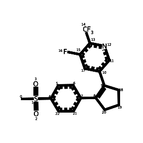 CS(=O)(=O)c1ccc(C2=C(c3cnc(C(F)(F)F)c(F)c3)CCC2)cc1